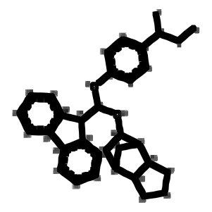 CCC(C)c1ccc(OC(OC2CC3CC2C2CCCC32)C2c3ccccc3-c3ccccc32)cc1